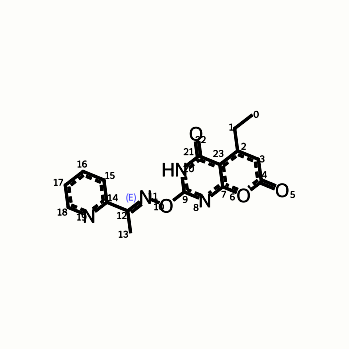 CCc1cc(=O)oc2nc(O/N=C(\C)c3ccccn3)[nH]c(=O)c12